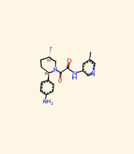 Cc1cncc(NC(=O)C(=O)N2C[C@@H](C)CC[C@@H]2c2ccc(N)cc2)c1